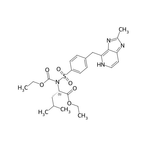 CCOC(=O)[C@H](CC(C)C)N(C(=O)OCC)S(=O)(=O)c1ccc(Cc2[nH]ccc3nc(C)nc2-3)cc1